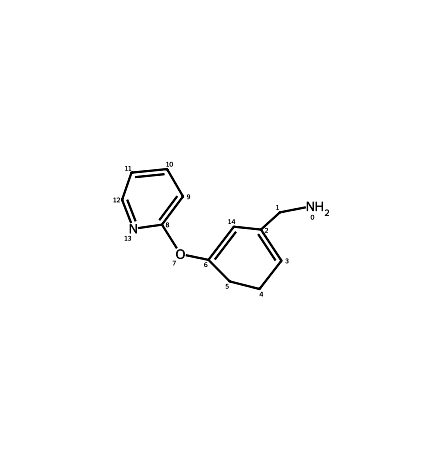 NCC1=CCCC(Oc2ccccn2)=C1